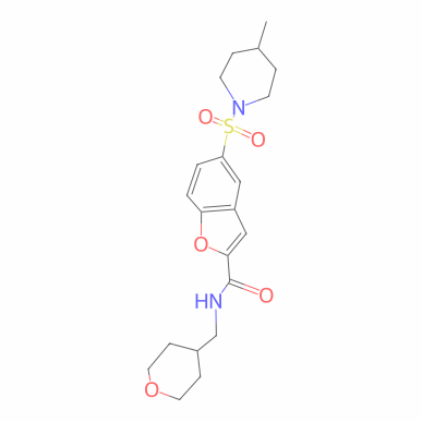 CC1CCN(S(=O)(=O)c2ccc3oc(C(=O)NCC4CCOCC4)cc3c2)CC1